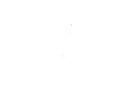 NN=C(C=O)C(N)(c1cc(F)cc(F)c1)c1ncccc1C(=O)O